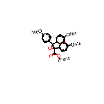 CCCCCOC(=O)C1(c2ccc(OC)cc2)OC1(c1ccc(OC)cc1)c1ccc(OC)cc1